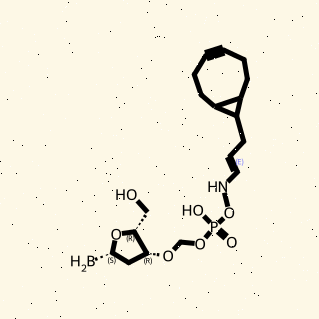 B[C@H]1C[C@@H](OCOP(=O)(O)ON/C=C/CC2C3CCC#CCCC23)[C@@H](CO)O1